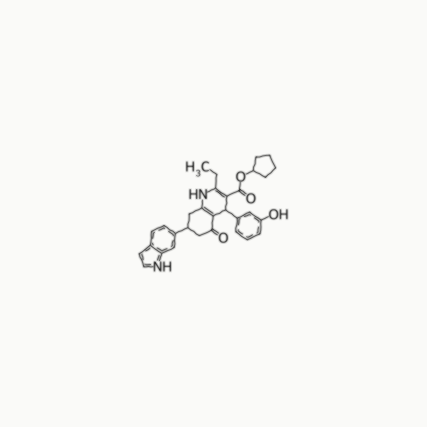 CCC1=C(C(=O)OC2CCCC2)C(c2cccc(O)c2)C2=C(CC(c3ccc4cc[nH]c4c3)CC2=O)N1